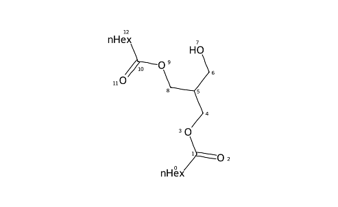 CCCCCCC(=O)OCC(CO)COC(=O)CCCCCC